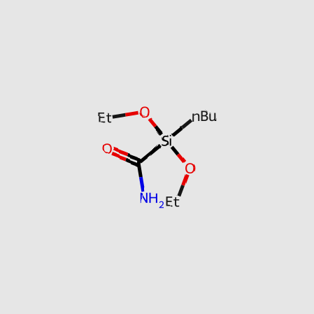 CCCC[Si](OCC)(OCC)C(N)=O